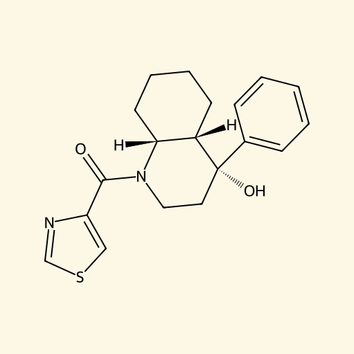 O=C(c1cscn1)N1CC[C@](O)(c2ccccc2)[C@H]2CCCC[C@H]21